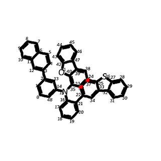 c1cc(-c2ccc3ccccc3c2)cc(N(c2ccccc2-c2ccc3sc4ccccc4c3c2)c2cccc3c2oc2ccccc23)c1